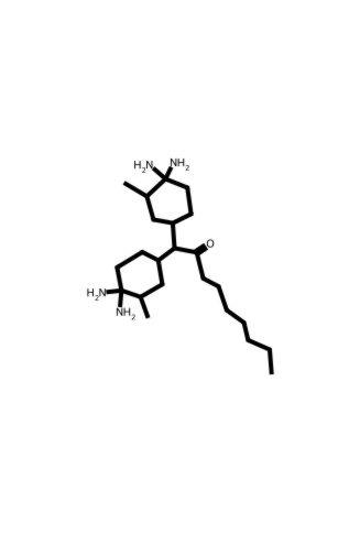 CCCCCCCC(=O)C(C1CCC(N)(N)C(C)C1)C1CCC(N)(N)C(C)C1